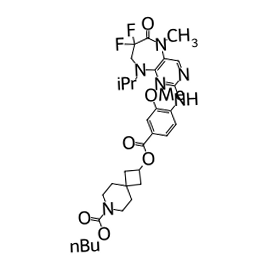 CCCCOC(=O)N1CCC2(CC1)CC(OC(=O)c1ccc(Nc3ncc4c(n3)N(C(C)C)CC(F)(F)C(=O)N4C)c(OC)c1)C2